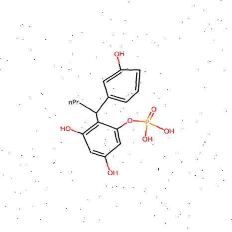 CCCC(c1cccc(O)c1)c1c(O)cc(O)cc1OP(=O)(O)O